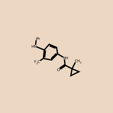 CC(C)Nc1ccc(NC(=O)C2(C)CC2)cc1C(F)(F)F